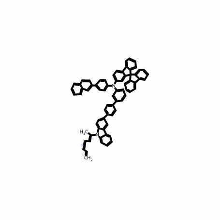 C=C/C=C\C=C(/C)n1c2ccccc2c2cc(-c3ccc(-c4cccc(N(c5ccc(-c6ccc7ccccc7c6)cc5)c5ccc6c(c5)C5(c7ccccc7-c7ccccc75)c5ccccc5-6)c4)cc3)ccc21